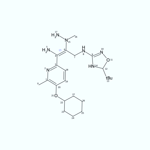 Cc1nc(/C(N)=C(\CNC2=NOC(C(C)(C)C)N2)N(C)N)ccc1OC1CCCCC1